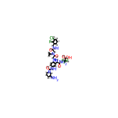 NC(=O)c1nn(CC(=O)N(CC(=O)NCc2cccc(Cl)c2F)C2CC2)c2ccc(NC(=O)N3CCC[C@H](N)C3)cc12.O=C(O)C(F)(F)F